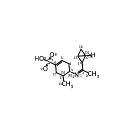 C/C(=N/[C@@H]1CC=C(S(=O)(=O)O)C[C@@H]1C)C1C2C[C@@H]21